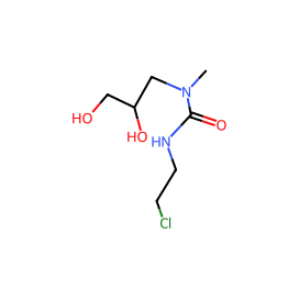 CN(CC(O)CO)C(=O)NCCCl